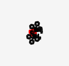 [O]=[Cr](=[O])([O][SiH2]C(c1ccccc1)(c1ccccc1)c1ccccc1)[O][SiH2]C(c1ccccc1)(c1ccccc1)c1ccccc1